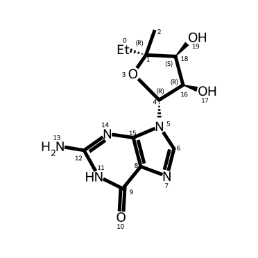 CC[C@@]1(C)O[C@@H](n2cnc3c(=O)[nH]c(N)nc32)[C@H](O)[C@@H]1O